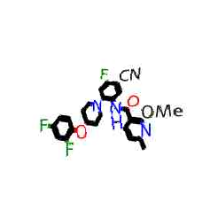 COc1nc(C)ccc1C(=O)Nc1cc(C#N)c(F)cc1N1CCC(Oc2ccc(F)cc2F)CC1